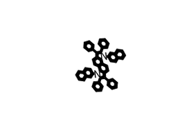 c1ccc(-c2c(-c3ccccc3)n(-c3ccc4ccccc4c3)c3c2ccc2c3ccc3c(-c4ccccc4)c(-c4ccccc4)n(-c4ccc5ccccc5c4)c32)cc1